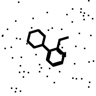 CCc1ncccc1C1CCCCC1